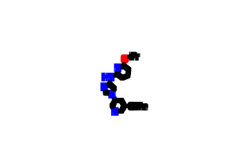 COc1cncc(-n2cnc(Nc3cccc(OC(C)C)n3)c2)c1